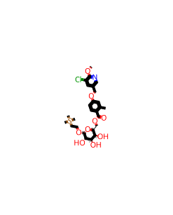 COc1ncc(COc2ccc(C(=O)OC[C@H]3O[C@@H](OCCS(C)(C)C)[C@H](O)[C@@H](O)[C@@H]3O)c(C)c2)cc1Cl